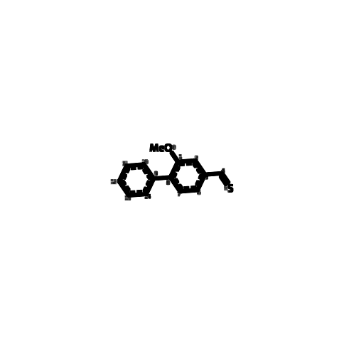 COc1cc(C=S)ccc1-c1ccccc1